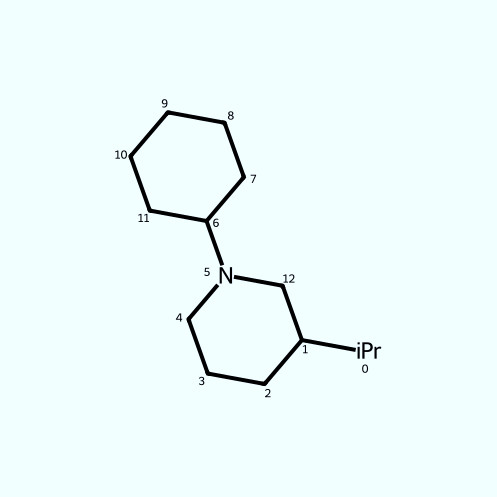 CC(C)C1CCCN(C2CCCCC2)C1